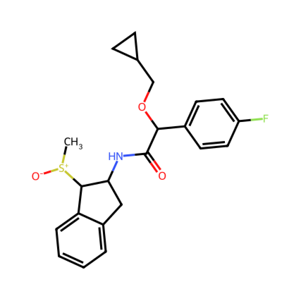 C[S+]([O-])C1c2ccccc2CC1NC(=O)C(OCC1CC1)c1ccc(F)cc1